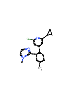 Cn1ccnc1-c1cc(C(F)(F)F)ccc1-c1cc(Cl)nc(C2CC2)c1